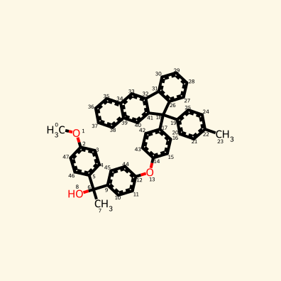 COc1ccc(C(C)(O)c2ccc(Oc3ccc(C4(c5ccc(C)cc5)c5ccccc5-c5cc6ccccc6cc54)cc3)cc2)cc1